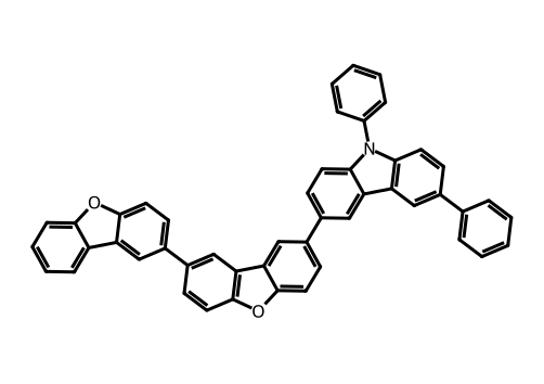 c1ccc(-c2ccc3c(c2)c2cc(-c4ccc5oc6ccc(-c7ccc8oc9ccccc9c8c7)cc6c5c4)ccc2n3-c2ccccc2)cc1